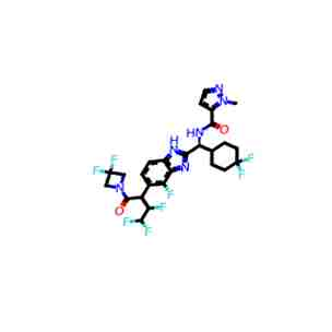 Cn1nccc1C(=O)N[C@H](c1nc2c(F)c(C(C(=O)N3CC(F)(F)C3)C(F)C(F)F)ccc2[nH]1)C1CCC(F)(F)CC1